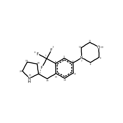 FC(F)(F)c1cc(N2CCOCC2)ccc1CC1CCCN1